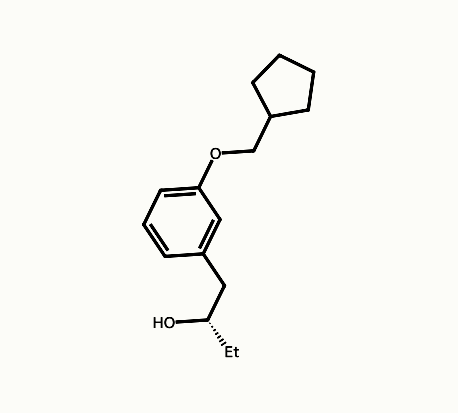 CC[C@H](O)Cc1cccc(OCC2CCCC2)c1